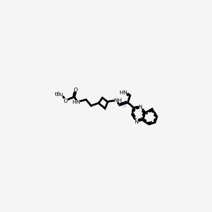 CC(C)(C)OC(=O)NCCC1CC(N/C=C(\C=N)c2cnc3ccccc3n2)C1